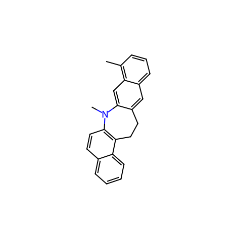 Cc1cccc2cc3c(cc12)N(C)c1ccc2ccccc2c1CC3